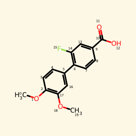 COc1ccc(-c2ccc(C(=O)O)cc2F)cc1OC